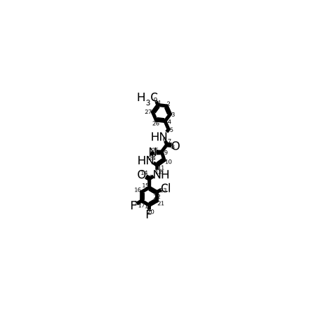 Cc1ccc(CNC(=O)c2cc(NC(=O)c3cc(F)c(F)cc3Cl)[nH]n2)cc1